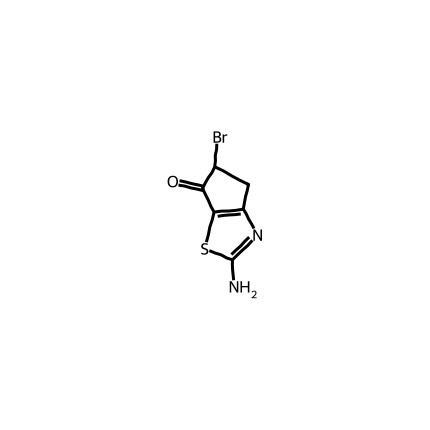 Nc1nc2c(s1)C(=O)C(Br)C2